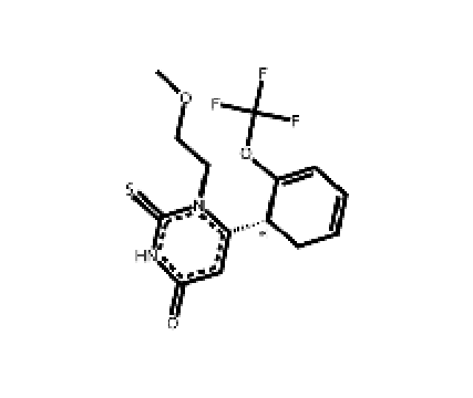 COCCn1c([C@H]2CC=CC=C2OC(F)(F)F)cc(=O)[nH]c1=S